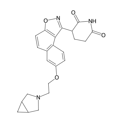 O=C1CCC(c2noc3ccc4cc(OCCN5CC6CC6C5)ccc4c23)C(=O)N1